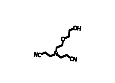 N#CCCN(CCC#N)CCOCCO